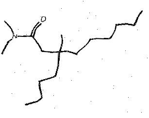 CCCCCCC(C)(CCCC)CC(=O)N(C)C